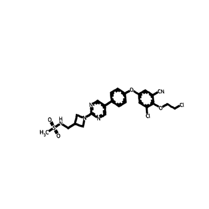 CS(=O)(=O)NCC1CN(c2ncc(-c3ccc(Oc4cc(Cl)c(OCCCl)c(C#N)c4)cc3)cn2)C1